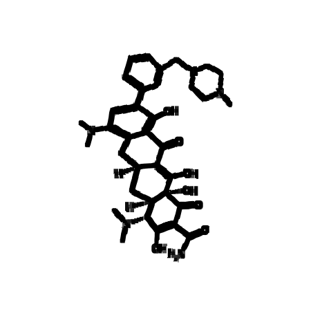 CN1CCN(Cc2cccc(-c3cc(N(C)C)c4c(c3O)C(=O)C3=C(O)[C@@]5(O)C(=O)C(C(N)=O)=C(O)[C@H](N(C)C)[C@H]5C[C@H]3C4)c2)CC1